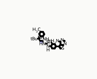 Cc1ccc(N/C(=C\C(=N)C(C)(C)C)NC(=O)Nc2ccc(-c3csc4ncnc(N)c34)cc2Cl)cc1